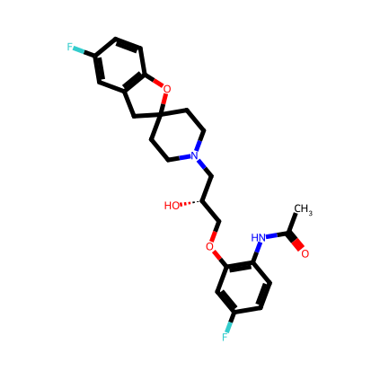 CC(=O)Nc1ccc(F)cc1OC[C@H](O)CN1CCC2(CC1)Cc1cc(F)ccc1O2